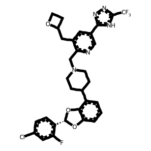 Fc1cc(Cl)ccc1[C@H]1Oc2cccc(C3CCN(Cc4ncc(-c5nnc(C(F)(F)F)[nH]5)cc4CC4CCO4)CC3)c2O1